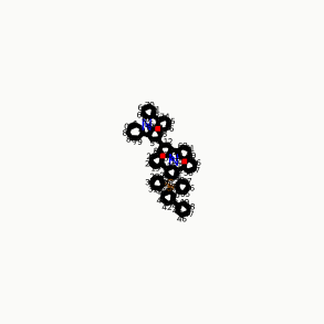 C1#Cc2c(c3cc(-c4ccc5c(c4)c4c(n5-c5c(-c6c#cccc6)cc(S(c6ccccc6)(c6ccccc6)c6cccc(-c7ccccc7)c6)cc5-c5ccccc5)CCC=C4)ccc3n2-c2ccccc2C2=CC=CCC2)C=CC1